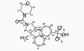 C[C@]1(c2ccccc2)CN(C(=O)N2CCOCC2)C[C@H]1c1ccc(C(O)(C(F)(F)F)C(F)(F)F)cc1